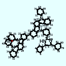 C1=C(c2ccccc2)NC(c2cccc(-n3c4ccc(-c5ccc6c(c5)c5ccc7c8ccccc8n(-c8ccccc8)c7c5n6-c5ccccc5)cc4c4ccc5c(c6ccccc6n5-c5ccccc5)c43)c2)N=C1c1ccccc1